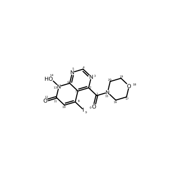 O=C(c1ncnc2c1c(I)cc(=O)n2O)N1CCOCC1